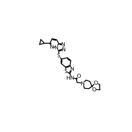 O=C(CN1CCC2(CC1)OCCO2)Nc1nc2ccc(Sc3nnc4ccc(C5CC5)nn34)cc2s1